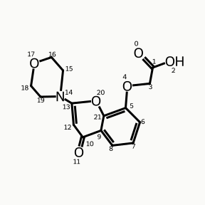 O=C(O)COc1cccc2c(=O)cc(N3CCOCC3)oc12